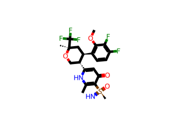 COc1c([C@@H]2C[C@](C)(C(F)(F)F)OC[C@H]2c2cc(=O)c([S@@](C)(=N)=O)c(C)[nH]2)ccc(F)c1F